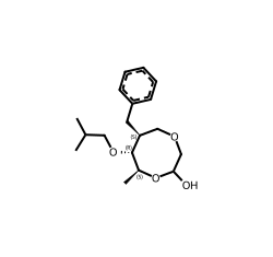 CC(C)CO[C@@H]1[C@@H](Cc2ccccc2)COCC(O)O[C@H]1C